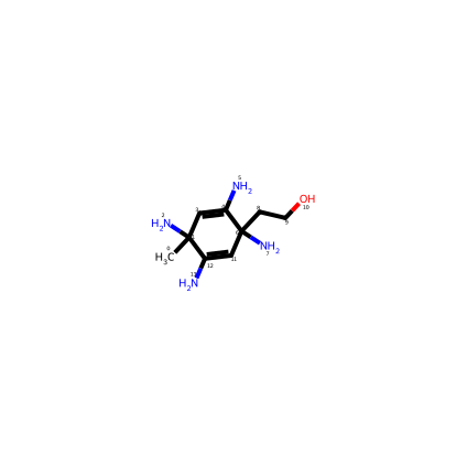 CC1(N)C=C(N)C(N)(CCO)C=C1N